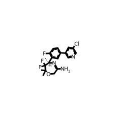 CC1(C)OCC(N)=N[C@](C)(c2cc(-c3cncc(Cl)c3)ccc2F)C1(F)F